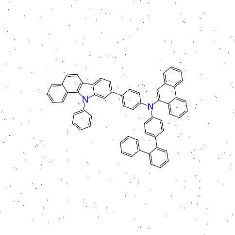 c1ccc(-c2ccccc2-c2ccc(N(c3ccc(-c4ccc5c6ccc7ccccc7c6n(-c6ccccc6)c5c4)cc3)c3cc4ccccc4c4ccccc34)cc2)cc1